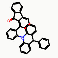 O=C1c2ccccc2-c2cccc(-c3ccccc3N3c4ccccc4B(c4ccccc4)c4ccccc43)c21